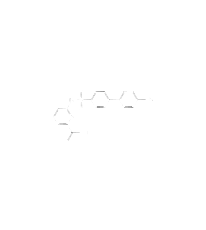 C=C(O)c1cccc(NS(=O)(=O)c2ccc(-c3ccc(C#N)cc3)cc2)n1